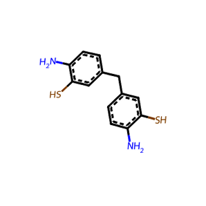 Nc1ccc(Cc2ccc(N)c(S)c2)cc1S